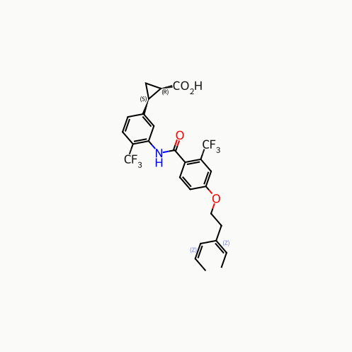 C/C=C\C(=C/C)CCOc1ccc(C(=O)Nc2cc([C@H]3C[C@H]3C(=O)O)ccc2C(F)(F)F)c(C(F)(F)F)c1